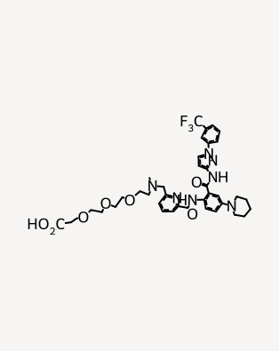 CN(CCOCCOCCOCCC(=O)O)Cc1cccc(C(=O)Nc2ccc(N3CCCCC3)cc2C(=O)Nc2ccn(-c3cccc(C(F)(F)F)c3)n2)n1